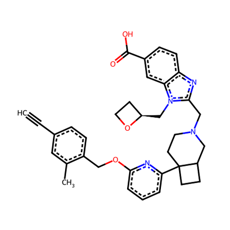 C#Cc1ccc(COc2cccc(C34CCC3CN(Cc3nc5ccc(C(=O)O)cc5n3C[C@@H]3CCO3)CC4)n2)c(C)c1